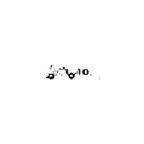 C/C(=C\c1cccc(-c2ncn(-c3ccc(OC(F)(F)F)cc3)n2)c1)C(C)NC(=S)/N=C1\SCC(=O)N1c1cc(C)ccc1C(C)C